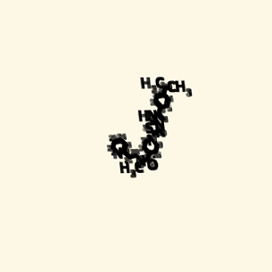 CC(C)c1ccc(C2=CN3N=C(N4CCC(C(=O)N(C)CCc5ccccn5)CC4)SC3N2)cc1